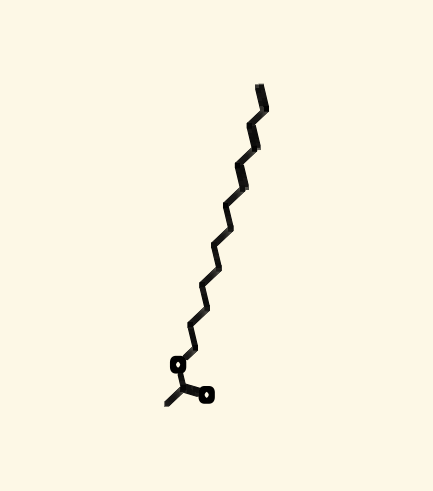 C=CC=CC=CCCCCCCCCOC(C)=O